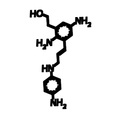 Nc1ccc(NCC=Cc2cc(N)cc(CCO)c2N)cc1